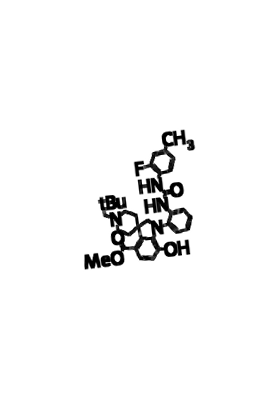 COC(=O)c1ccc(O)c2c1C1(CCN(CC(C)(C)C)CC1)CN2c1ccccc1NC(=O)Nc1ccc(C)cc1F